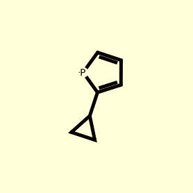 C1=C[P]C(C2CC2)=C1